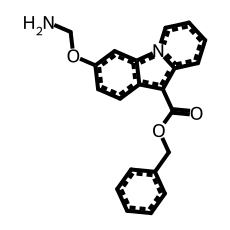 NCOc1ccc2c(C(=O)OCc3ccccc3)c3ccccn3c2c1